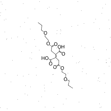 CCCOCCOC(=O)CC(C(=O)O)=C(CC(=O)OCCOCCC)C(=O)O